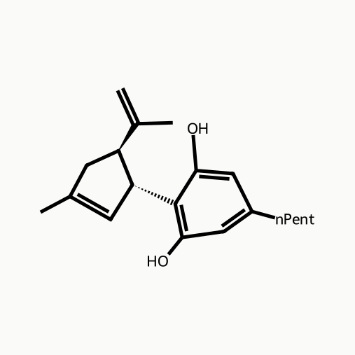 C=C(C)[C@@H]1CC(C)=C[C@H]1c1c(O)cc(CCCCC)cc1O